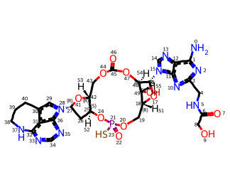 Nc1nc(CNC(=O)CO)nc2c1ncn2[C@@H]1O[C@@H]2COP(=O)(S)O[C@H]3C[C@H](n4cc5c6c(ncnc64)NCCC5)O[C@@H]3COC(=O)O[C@@H]1[C@@H]2O